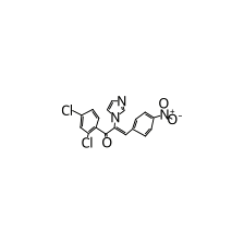 O=C(C(=Cc1ccc([N+](=O)[O-])cc1)n1ccnc1)c1ccc(Cl)cc1Cl